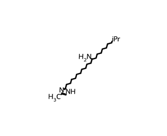 Cc1c[nH]c(CCCCCCCCCCC(N)CCCCCCCC(C)C)n1